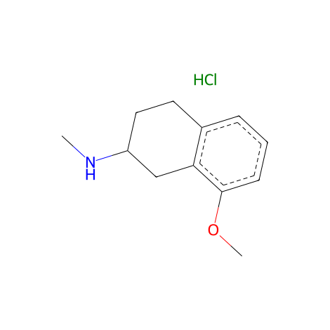 CNC1CCc2cccc(OC)c2C1.Cl